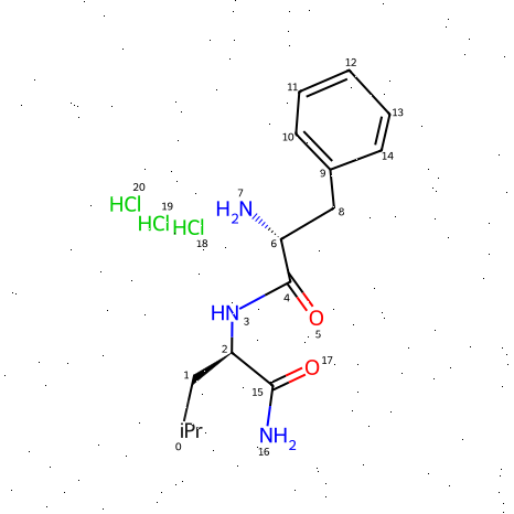 CC(C)C[C@@H](NC(=O)[C@H](N)Cc1ccccc1)C(N)=O.Cl.Cl.Cl